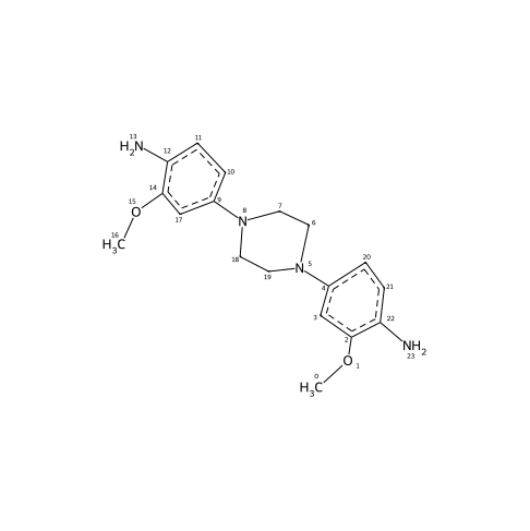 COc1cc(N2CCN(c3ccc(N)c(OC)c3)CC2)ccc1N